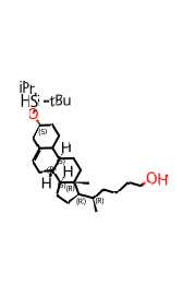 CC(C)[SiH](O[C@H]1CCC2C(=CC[C@@H]3[C@@H]2CC[C@]2(C)[C@@H]([C@H](C)CCCCO)CC[C@@H]32)C1)C(C)(C)C